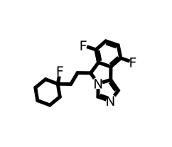 Fc1ccc(F)c2c1-c1cncn1C2CCC1(F)CCCCC1